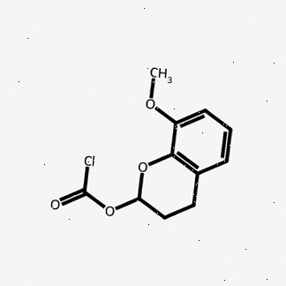 COc1cccc2c1OC(OC(=O)Cl)CC2